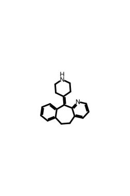 c1ccc2c(c1)CCc1cccnc1C2=C1CCNCC1